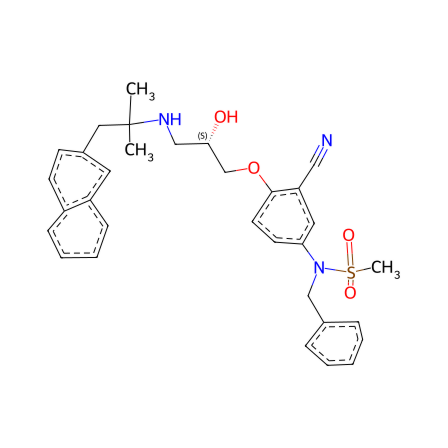 CC(C)(Cc1ccc2ccccc2c1)NC[C@H](O)COc1ccc(N(Cc2ccccc2)S(C)(=O)=O)cc1C#N